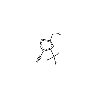 N#Cc1ccc(CCl)cc1C(F)(F)F